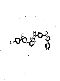 O=C(c1ccc(Nc2nc3c(N4CCC(CO)(c5ccc(Cl)cc5)CC4)cccn3n2)cc1)N1CCC(c2ccncc2)C1